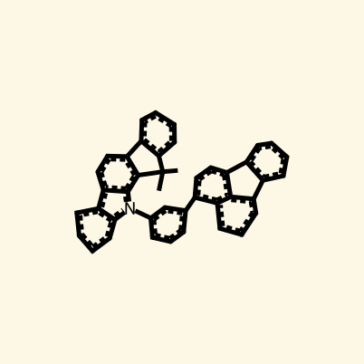 CC1(C)c2ccccc2-c2ccc3c4ccccc4n(-c4cccc(-c5ccc6c7c(cccc57)-c5ccccc5-6)c4)c3c21